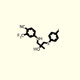 CC(O)(CNc1ccc(C#N)c(C(F)(F)F)c1)CSc1ccc(I)cc1